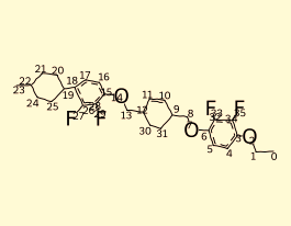 CCOc1ccc(OCC2C=CC(COc3ccc(C4CCC(C)CC4)c(F)c3F)CC2)c(F)c1F